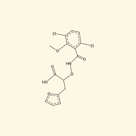 COc1c(Cl)ccc(Cl)c1C(=O)NOC(Cc1ccco1)C(=O)O